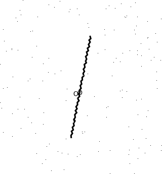 CCCCCCCCC=CCCCCCCCCCCCC(=O)OCCCCCCCCCCCCCCCCCCCCCCCCCCC